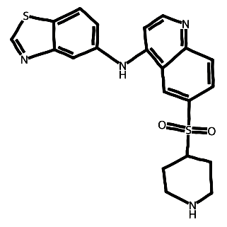 O=S(=O)(c1ccc2nccc(Nc3ccc4scnc4c3)c2c1)C1CCNCC1